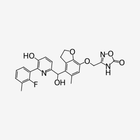 Cc1cccc(-c2nc(C(O)c3c(C)cc(OCc4noc(=O)[nH]4)c4c3CCO4)ccc2O)c1F